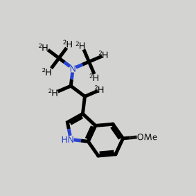 [2H]C(c1c[nH]c2ccc(OC)cc12)C([2H])N(C([2H])([2H])[2H])C([2H])([2H])[2H]